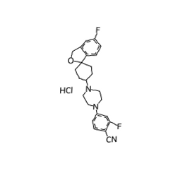 Cl.N#Cc1ccc(N2CCN(C3CCC4(CC3)OCc3cc(F)ccc34)CC2)cc1F